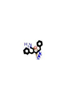 [N-]=[N+]=N[C@@](S)(Cc1ccccc1)C(=S)C(Cc1ccccc1)C(=O)CN